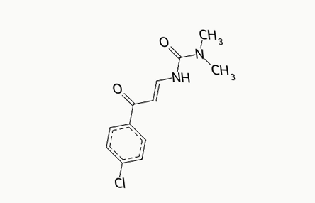 CN(C)C(=O)NC=CC(=O)c1ccc(Cl)cc1